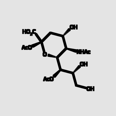 CC(=O)N[C@H]1[C@H]([C@H](OC(C)=O)[C@H](O)CO)O[C@](OC(C)=O)(C(=O)O)C[C@@H]1O